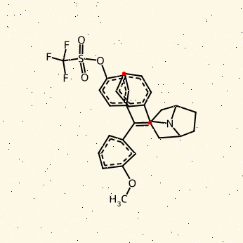 COc1cccc(C(=C2CC3CCC(C2)N3Cc2ccccc2)c2ccc(OS(=O)(=O)C(F)(F)F)cc2)c1